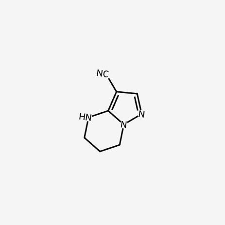 N#Cc1cnn2c1NCCC2